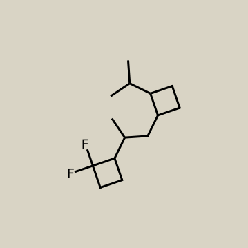 CC(C)C1CCC1CC(C)C1CCC1(F)F